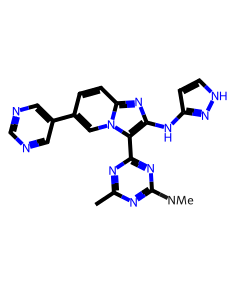 CNc1nc(C)nc(-c2c(Nc3cc[nH]n3)nc3ccc(-c4cncnc4)cn23)n1